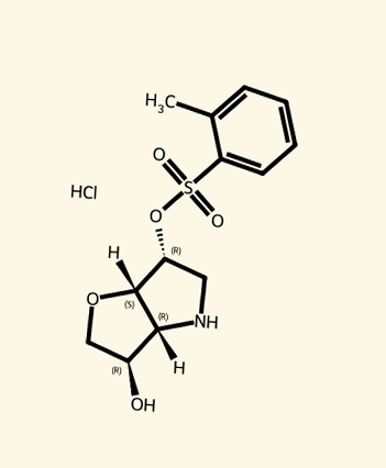 Cc1ccccc1S(=O)(=O)O[C@@H]1CN[C@H]2[C@@H]1OC[C@@H]2O.Cl